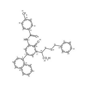 O=C(Nc1cc(-c2cccc3ccccc23)cn(C(CSCc2ccccc2)C(=O)O)c1=O)c1ccc(C(F)(F)F)cc1